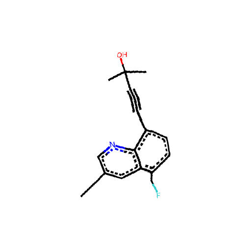 Cc1cnc2c(C#CC(C)(C)O)ccc(F)c2c1